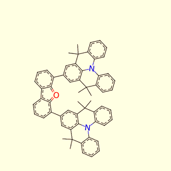 CC1(C)c2ccccc2N2c3ccccc3C(C)(C)c3cc(-c4cccc5c4oc4c(-c6cc7c8c(c6)C(C)(C)c6ccccc6N8c6ccccc6C7(C)C)cccc45)cc1c32